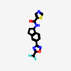 O=C(NC1CCc2cc(-c3noc(C(F)F)n3)ccc21)c1cncs1